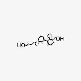 OCCCCOc1cccc(-c2cccc(CO)c2Cl)c1